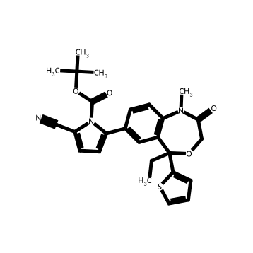 CCC1(c2cccs2)OCC(=O)N(C)c2ccc(-c3ccc(C#N)n3C(=O)OC(C)(C)C)cc21